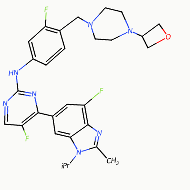 Cc1nc2c(F)cc(-c3nc(Nc4ccc(CN5CCN(C6COC6)CC5)c(F)c4)ncc3F)cc2n1C(C)C